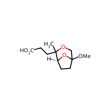 COC12CC[C@H](O1)C(C)(CCC(=O)O)OC2